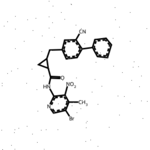 Cc1c(Br)cnc(NC(=O)C2CC2Cc2ccc(-c3ccccc3)c(C#N)c2)c1[N+](=O)[O-]